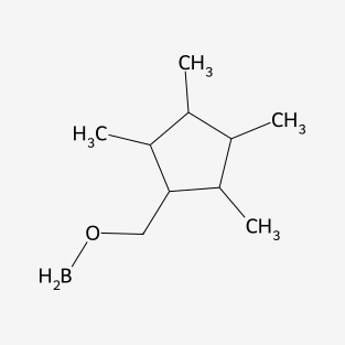 BOCC1C(C)C(C)C(C)C1C